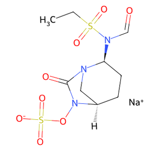 CCS(=O)(=O)N(C=O)[C@H]1CC[C@@H]2CN1C(=O)N2OS(=O)(=O)[O-].[Na+]